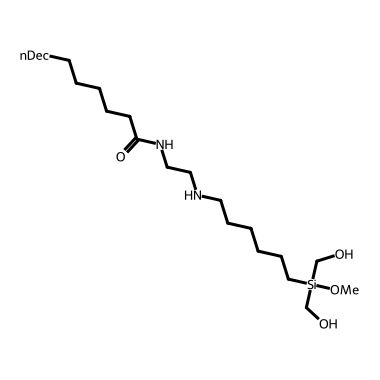 CCCCCCCCCCCCCCCC(=O)NCCNCCCCCC[Si](CO)(CO)OC